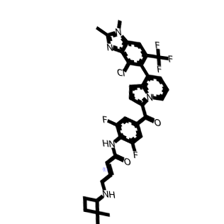 Cc1nc2c(Cl)c(-c3cccn4c(C(=O)c5cc(F)c(NC(=O)/C=C/CNC6CCC6(C)C)c(F)c5)ccc34)c(C(F)(F)F)cc2n1C